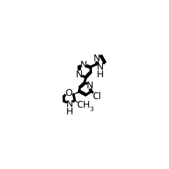 C[C@@H]1NCCO[C@H]1c1cc(Cl)nc(-c2cc(-c3ncc[nH]3)ncn2)c1